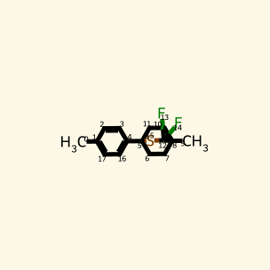 Cc1ccc(C23CCC(C)(CC2)C(F)(F)S3)cc1